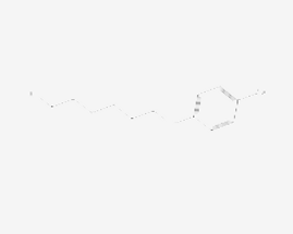 O=[N+]([O-])c1ccc(OCCCCCCBr)cc1